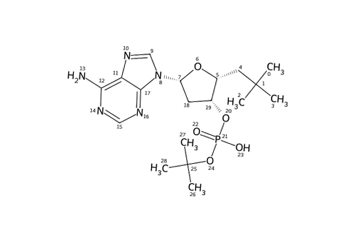 CC(C)(C)C[C@H]1O[C@@H](n2cnc3c(N)ncnc32)C[C@H]1OP(=O)(O)OC(C)(C)C